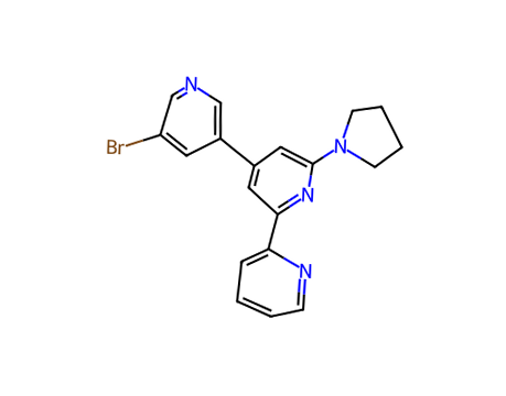 Brc1cncc(-c2cc(-c3ccccn3)nc(N3CCCC3)c2)c1